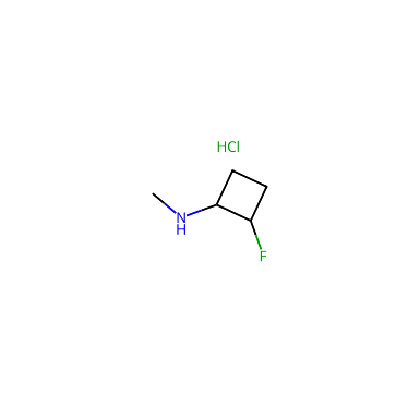 CNC1CCC1F.Cl